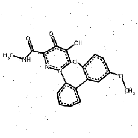 CNC(=O)c1nn(-c2ccccc2-c2cc(OC)ccc2Cl)cc(O)c1=O